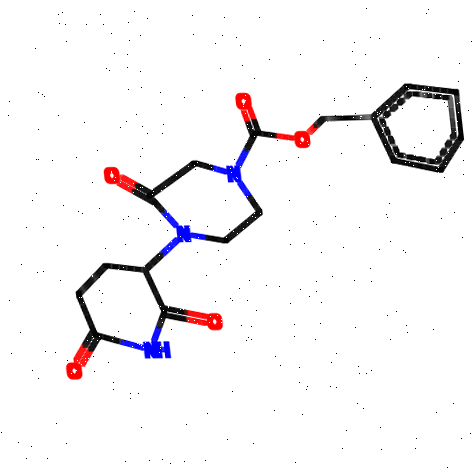 O=C1CCC(N2CCN(C(=O)OCc3ccccc3)CC2=O)C(=O)N1